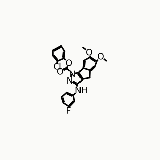 COc1cc2c(cc1OC)-c1c(c(Nc3cccc(F)c3)nn1C(=O)Oc1ccccc1Cl)C2